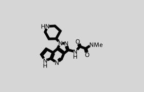 CNC(=O)C(=O)Nc1nn(C2CCNCC2)c2c1cnc1[nH]ccc12